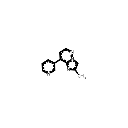 Cc1cn2nccc(-c3cccnc3)c2n1